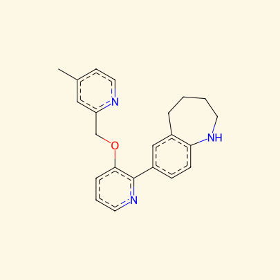 Cc1ccnc(COc2cccnc2-c2ccc3c(c2)CCCCN3)c1